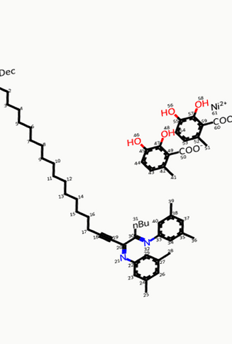 CCCCCCCCCCCCCCCCCCCCCCCCCCCC#CC(=Nc1cc(C)cc(C)c1)C(CCCC)=Nc1cc(C)cc(C)c1.Cc1ccc(O)c(O)c1C(=O)[O-].Cc1ccc(O)c(O)c1C(=O)[O-].[Ni+2]